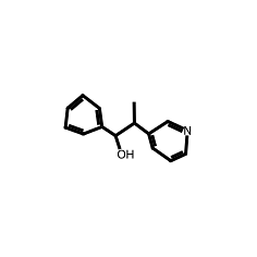 CC(c1cccnc1)C(O)c1ccccc1